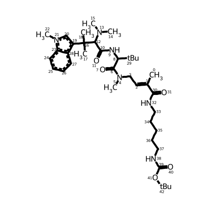 C/C(=C\CN(C)C(=O)C(NC(=O)C(N(C)C)C(C)(C)c1cn(C)c2ccccc12)C(C)(C)C)C(=O)NCCCCCNC(=O)OC(C)(C)C